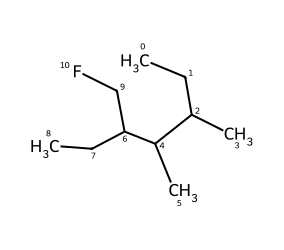 CCC(C)C(C)C(CC)CF